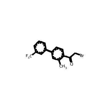 Cc1cc(-c2cccc(C(F)(F)F)c2)ccc1C(=O)CBr